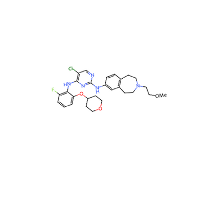 COCCN1CCc2ccc(Nc3ncc(Cl)c(Nc4c(F)cccc4OC4CCOCC4)n3)cc2CC1